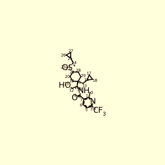 Cc1nc(C(F)(F)F)ccc1C(=O)NC(CO)[C@]1(CC2CC2)CC[C@H]([S+]([O-])CC2CC2)CC1